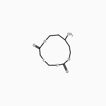 CC1CCOC(=O)CCCCC(=O)OCC1